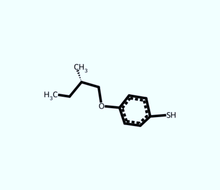 CC[C@H](C)COc1ccc(S)cc1